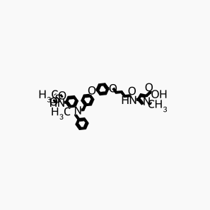 Cc1c(NS(C)(=O)=O)cccc1N(Cc1ccccc1)Cc1ccc(Oc2ccc(OCCCC(=O)Nc3cc(C(=O)O)n(C)c3)cc2)cc1